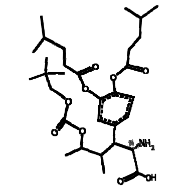 CC(C)CCC(=O)Oc1ccc(C(C(C)C(C)OC(=O)OCC(C)(C)C)[C@H](N)C(=O)O)cc1OC(=O)CCC(C)C